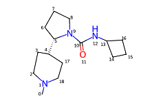 CN1CCC([C@@H]2CCCN2C(=O)NC2CCC2)CC1